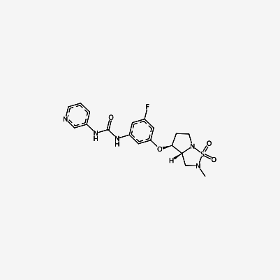 CN1C[C@@H]2[C@@H](Oc3cc(F)cc(NC(=O)Nc4cccnc4)c3)CCN2S1(=O)=O